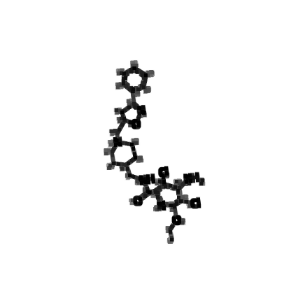 CCOc1nc(C(=O)NCC2CCN(CC3CC(c4ccccc4)=NO3)CC2)c(Cl)c(N)c1Cl